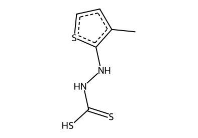 Cc1ccsc1NNC(=S)S